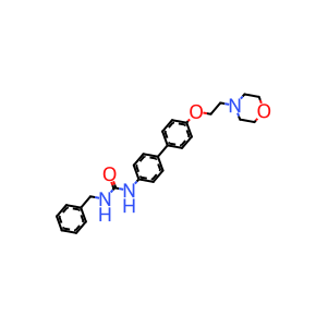 O=C(NCc1ccccc1)Nc1ccc(-c2ccc(OCCN3CCOCC3)cc2)cc1